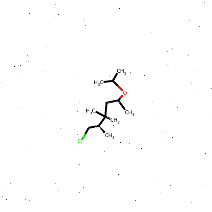 CC(C)OC(C)CC(C)(C)[C@@H](C)CCl